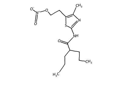 CCCC(CCC)C(=O)Nc1nc(C)c(CCO[N+](=O)[O-])s1